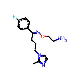 Cc1nccn1CCCC(=NOCCN)c1ccc(F)cc1